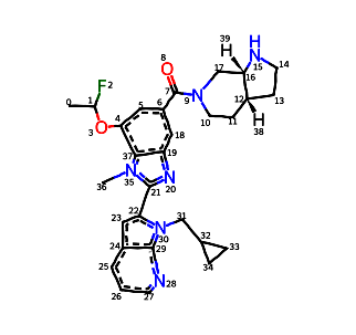 CC(F)Oc1cc(C(=O)N2CC[C@H]3CCN[C@H]3C2)cc2nc(-c3cc4cccnc4n3CC3CC3)n(C)c12